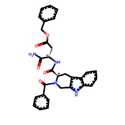 NC(=O)[C@H](CC(=O)OCc1ccccc1)NC(=O)[C@H]1Cc2c([nH]c3ccccc23)CN1C(=O)c1ccccc1